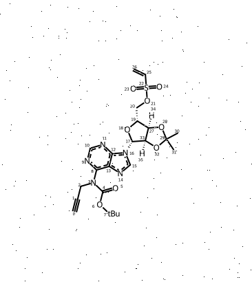 C#CCN(C(=O)OC(C)(C)C)c1ncnc2c1ncn2[C@@H]1O[C@H](COS(=O)(=O)C=C)[C@H]2OC(C)(C)O[C@H]21